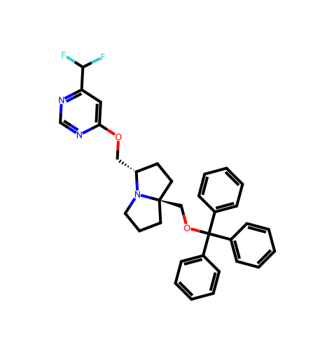 FC(F)c1cc(OC[C@@H]2CC[C@]3(COC(c4ccccc4)(c4ccccc4)c4ccccc4)CCCN23)ncn1